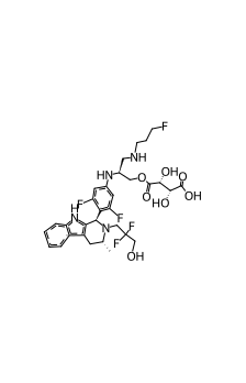 C[C@@H]1Cc2c([nH]c3ccccc23)[C@@H](c2c(F)cc(N[C@@H](CNCCCF)COC(=O)[C@H](O)[C@@H](O)C(=O)O)cc2F)N1CC(F)(F)CO